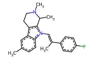 C/C(=C\n1c2c(c3cc(C)ccc31)CCN(C)C2C)c1ccc(F)cc1